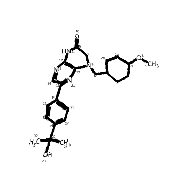 COC1CCC(CN2CC(=O)Nc3ncc(-c4ccc(C(C)(C)O)cc4)nc32)CC1